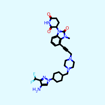 Cn1c(=O)n(C2CCC(=O)NC2=O)c2cccc(C#CCN3CCN(CC4CCC(n5cc(N)c(C(F)F)n5)CC4)CC3)c21